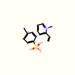 C=Cc1cccc[n+]1C.Cc1ccc(S(=O)(=O)[O-])cc1